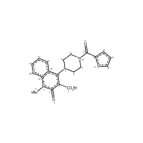 CCCCn1c(=O)c(C(=O)OCC)c(N2CCN(C(=O)c3cccs3)CC2)c2cccnc21